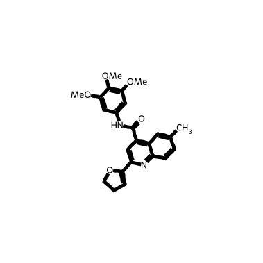 COc1cc(NC(=O)c2cc(C3=CCCO3)nc3ccc(C)cc23)cc(OC)c1OC